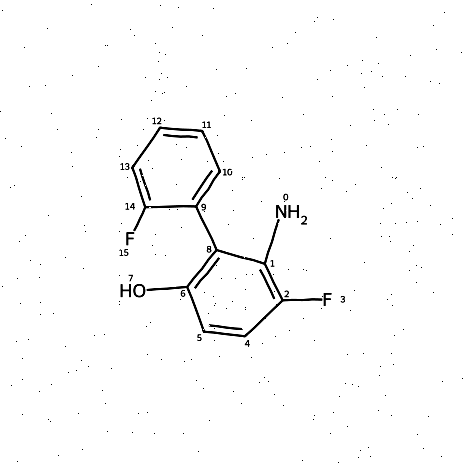 Nc1c(F)ccc(O)c1-c1ccccc1F